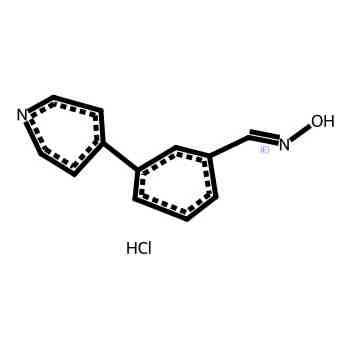 Cl.O/N=C/c1cccc(-c2ccncc2)c1